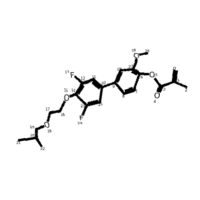 C=C(C)C(=O)Oc1ccc(-c2cc(F)c(OCCOCC(C)C)c(F)c2)cc1OC